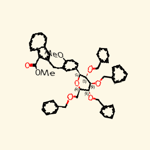 COC(=O)c1c(Cc2cc([C@@H]3O[C@H](COCc4ccccc4)[C@@H](OCc4ccccc4)[C@H](OCc4ccccc4)[C@H]3OCc3ccccc3)ccc2OC)cc2cccccc1-2